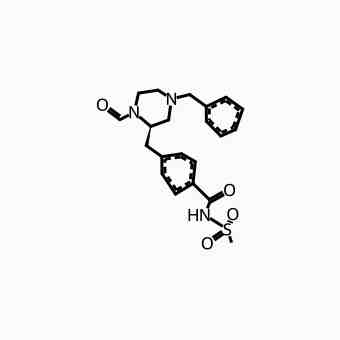 CS(=O)(=O)NC(=O)c1ccc(C[C@@H]2CN(Cc3ccccc3)CCN2C=O)cc1